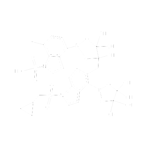 CC1(C)OB(c2c(CC3(C)OB(c4ccc(F)c5c4ccn5S(C)(=O)=O)OC3(C)C)ccc3c2ccn3S(=O)(=O)CC2CC2)OC1(C)C